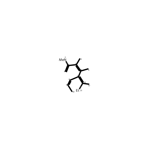 C=C(NC)/C(C)=C(/C)C(/C=C\C)=C(C)CC